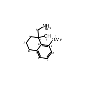 COc1cccc2c1C(O)(CN)CCC2